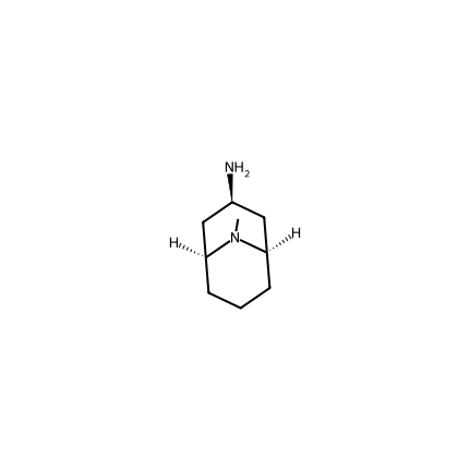 CN1[C@@H]2CCC[C@H]1C[C@@H](N)C2